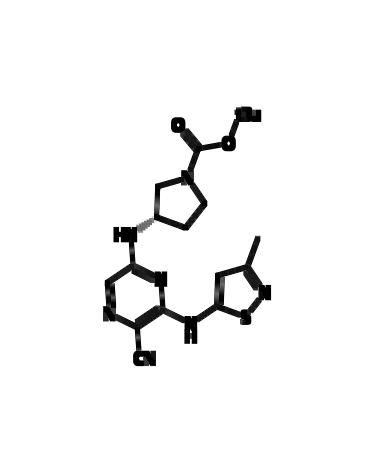 Cc1cc(Nc2nc(N[C@H]3CCN(C(=O)OC(C)(C)C)C3)cnc2C#N)sn1